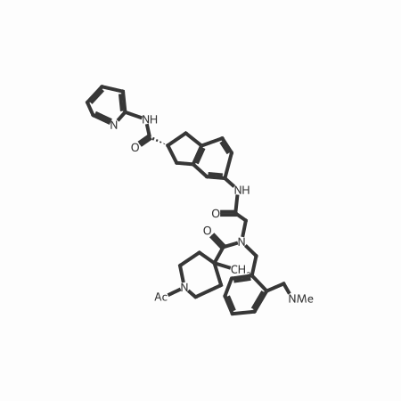 CNCc1ccccc1CN(CC(=O)Nc1ccc2c(c1)C[C@H](C(=O)Nc1ccccn1)C2)C(=O)C1(C)CCN(C(C)=O)CC1